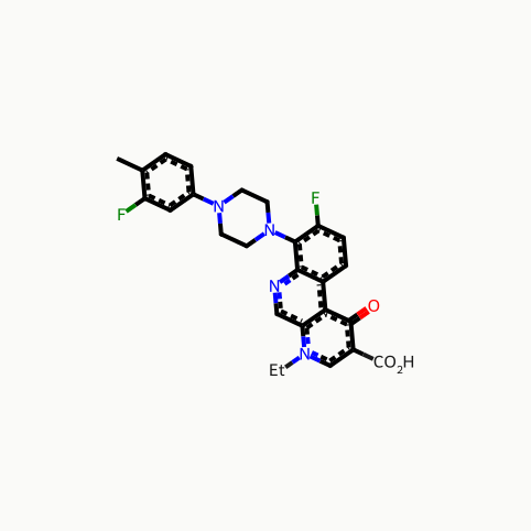 CCn1cc(C(=O)O)c(=O)c2c3ccc(F)c(N4CCN(c5ccc(C)c(F)c5)CC4)c3ncc21